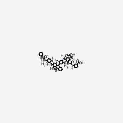 Cc1cc(C)c(Nc2ccc3c(-c4ccccc4S(=O)(=O)O)c4cc/c(=N\c5c(C)c(NC(=O)Nc6cccc(C(=O)O)c6)c(C)c(S(=O)(=O)O)c5C)cc-4oc3c2)c(C)c1NC(=O)Nc1ccccc1